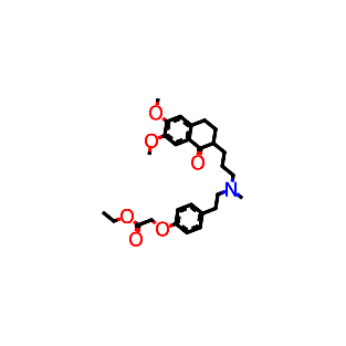 CCOC(=O)COc1ccc(CCN(C)CCCC2CCc3cc(OC)c(OC)cc3C2=O)cc1